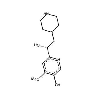 COc1cc([C@H](O)CN2CCNCC2)ncc1C#N